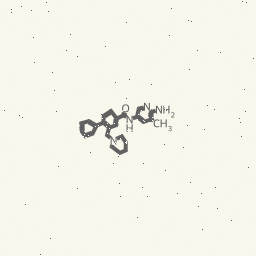 Cc1cc(NC(=O)c2ccc(-c3ccccc3)c(CN3CCCCC3)c2)cnc1N